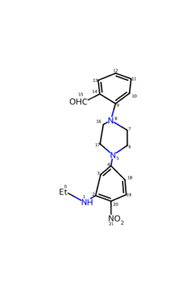 CCNc1cc(N2CCN(c3ccccc3C=O)CC2)ccc1[N+](=O)[O-]